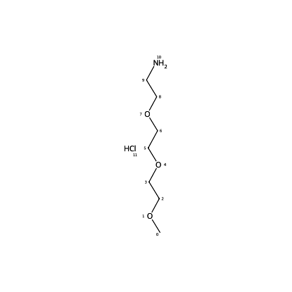 COCCOCCOCCN.Cl